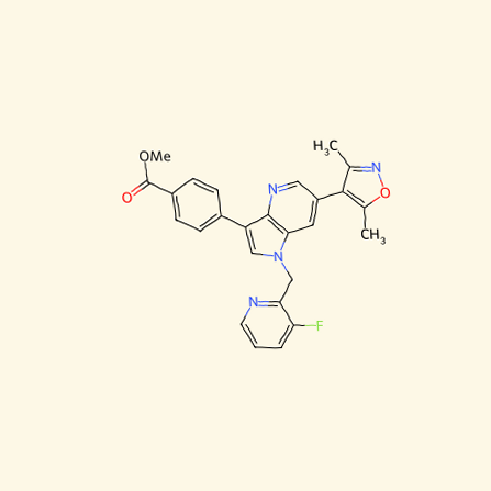 COC(=O)c1ccc(-c2cn(Cc3ncccc3F)c3cc(-c4c(C)noc4C)cnc23)cc1